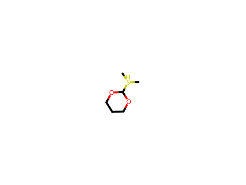 C[SH](C)C1OCCCO1